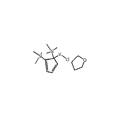 C1CCOC1.C[Si](C)(C)C1=CC=C[C]1([V][Cl])[Si](C)(C)C